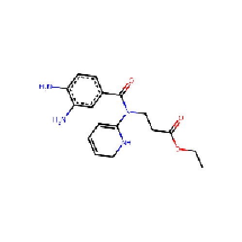 CCOC(=O)CCN(C(=O)c1ccc(N)c(N)c1)C1=CC=CCN1